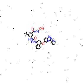 CN1CCC[C@@]1(C)c1nnc2ccc(O[C@@H]3CC[C@H](NC(=O)Nc4cc(C(=O)NCCO)cc(C(C)(C)C)c4)c4ccccc43)cn12